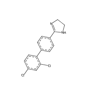 Clc1ccc(-c2ccc(C3=NCCN3)cc2)c(Cl)c1